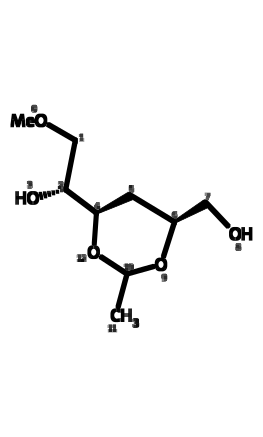 COC[C@@H](O)[C@H]1C[C@@H](CO)OC(C)O1